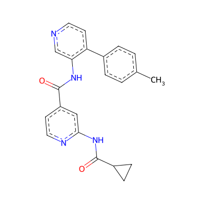 Cc1ccc(-c2ccncc2NC(=O)c2ccnc(NC(=O)C3CC3)c2)cc1